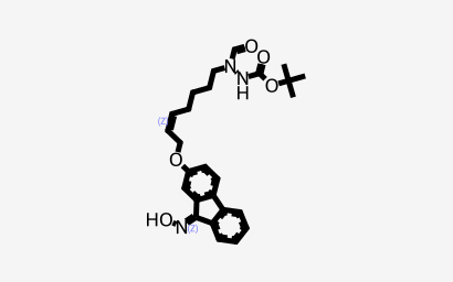 CC(C)(C)OC(=O)NN(C=O)CCCC/C=C\COc1ccc2c(c1)/C(=N\O)c1ccccc1-2